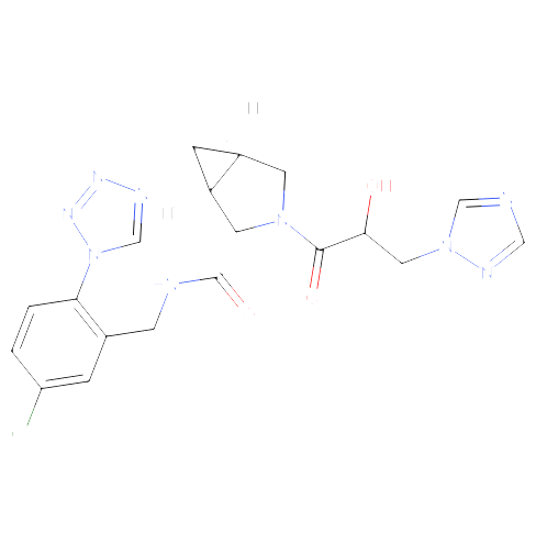 O=C(NCc1cc(Cl)ccc1-n1cnnn1)[C@@H]1[C@H]2C[C@H]2CN1C(=O)C(O)Cn1cncn1